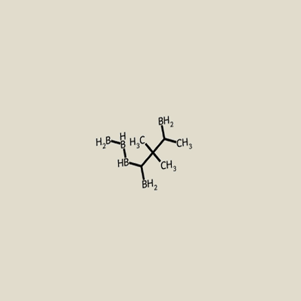 BBBC(B)C(C)(C)C(B)C